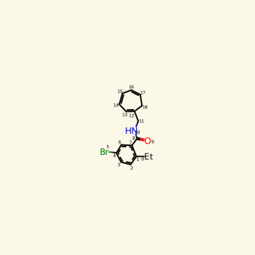 CCc1ccc(Br)cc1C(=O)NCC1=CC=CC=CC1